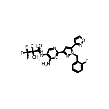 CC(C)(C(=O)Nc1cnc(-c2cc(-c3ccon3)n(Cc3ccccc3F)n2)nc1N)C(F)(F)F